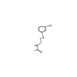 CC(=O)NCCSc1cc[c]c(Cl)c1